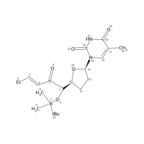 CCC=CC(=O)C(O[Si](C)(C)C(C)(C)C)[C@@H]1CC[C@H](n2cc(C)c(=O)[nH]c2=O)O1